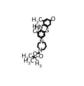 CC1=CC(=O)CC2=C1Nc1c(C)cc(N3CCCN(C(=O)OC(C)(C)C)CC3)cc1S2